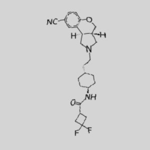 N#Cc1ccc2c(c1)[C@@H]1CN(CC[C@H]3CC[C@H](NC(=O)C4CC(F)(F)C4)CC3)C[C@H]1CO2